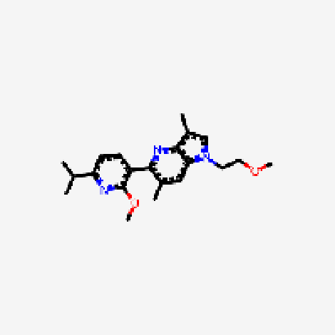 COCCn1cc(C)c2nc(-c3ccc(C(C)C)nc3OC)c(C)cc21